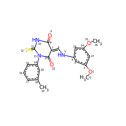 COc1cc(NC=C2C(=O)NC(=S)N(c3cccc(C)c3)C2=O)cc(OC)c1